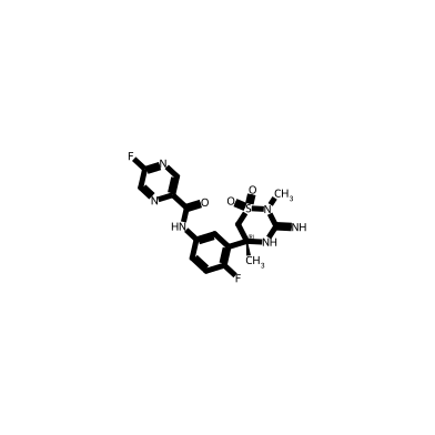 CN1C(=N)N[C@](C)(c2cc(NC(=O)c3cnc(F)cn3)ccc2F)CS1(=O)=O